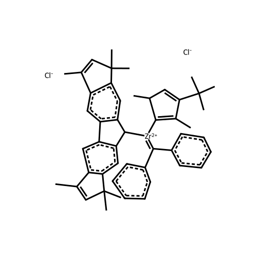 CC1=CC(C)(C)c2cc3c(cc21)-c1cc2c(cc1[CH]3[Zr+2]([C]1=C(C)C(C(C)(C)C)=CC1C)=[C](c1ccccc1)c1ccccc1)C(C)(C)C=C2C.[Cl-].[Cl-]